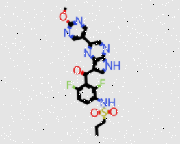 CCCS(=O)(=O)Nc1ccc(F)c(C(=O)c2c[nH]c3ncc(-c4cnc(OC)nc4)nc23)c1F